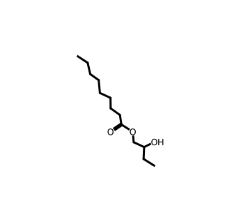 CCCCCCCCC(=O)OCC(O)CC